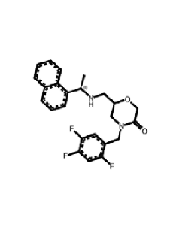 C[C@@H](NCC1CN(Cc2cc(F)c(F)cc2F)C(=O)CO1)c1cccc2ccccc12